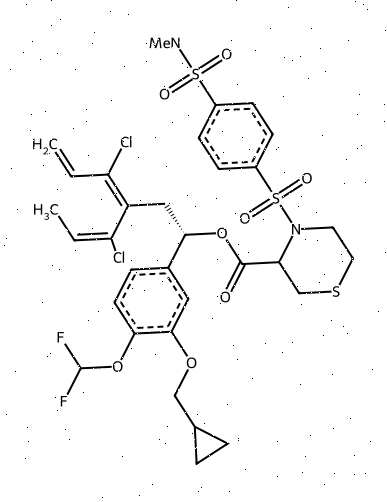 C=C/C(Cl)=C(C[C@H](OC(=O)C1CSCCN1S(=O)(=O)c1ccc(S(=O)(=O)NC)cc1)c1ccc(OC(F)F)c(OCC2CC2)c1)\C(Cl)=C/C